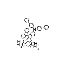 CC1(C)CCC(C)(C)c2cc3c(cc21)-c1ccc(N(c2ccc(-c4ccccc4)cc2)c2ccc(-c4ccccc4)cc2)cc1C3(c1ccccc1)c1ccccc1